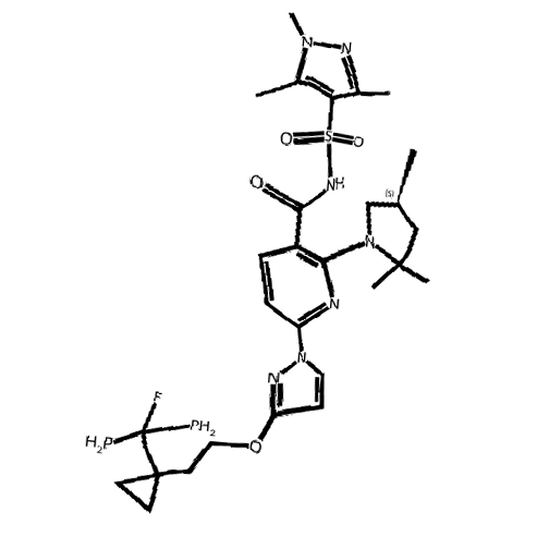 Cc1nn(C)c(C)c1S(=O)(=O)NC(=O)c1ccc(-n2ccc(OCCC3(C(F)(P)P)CC3)n2)nc1N1C[C@@H](C)CC1(C)C